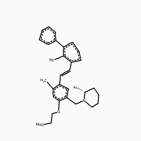 COCCOc1cc(C)c(/C=C/c2cccc(-c3ccccc3)c2C#N)cc1CN1CCCC[C@H]1C(C)=O